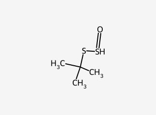 CC(C)(C)S[SH]=O